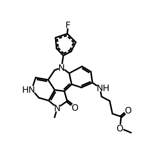 COC(=O)CCCNC1=CC2=C3C(=O)N(C)C4=C3C(=CNC4)CN(c3ccc(F)cc3)C2C=C1